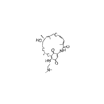 C/C1=C\[C@H](C)[C@@H](O)CC[C@H](C)CC2=C(NCCN(C)C)C(=O)C=C(NC(=O)/C(C)=C/C=C\CC1)C2=O